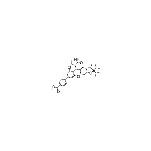 COC(=O)c1ccc(-c2cc(Cl)c(C(C3CCNC3=O)N3CCC(O[Si](C(C)C)(C(C)C)C(C)C)CC3)c(Cl)c2)cc1